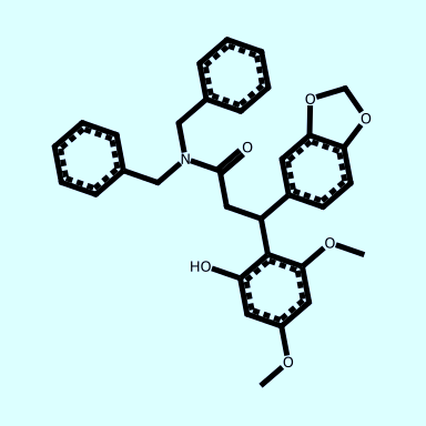 COc1cc(O)c(C(CC(=O)N(Cc2ccccc2)Cc2ccccc2)c2ccc3c(c2)OCO3)c(OC)c1